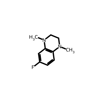 CN1CCN(C)c2cc(F)ccc21